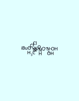 Cc1cc(C(=O)Nc2ccc(CN(CCO)CCO)cc2)nn1Cc1cc(Cl)ccc1OCC(C)C